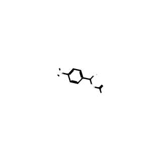 CC(=O)OC(Br)c1ccc([N+](=O)[O-])cc1